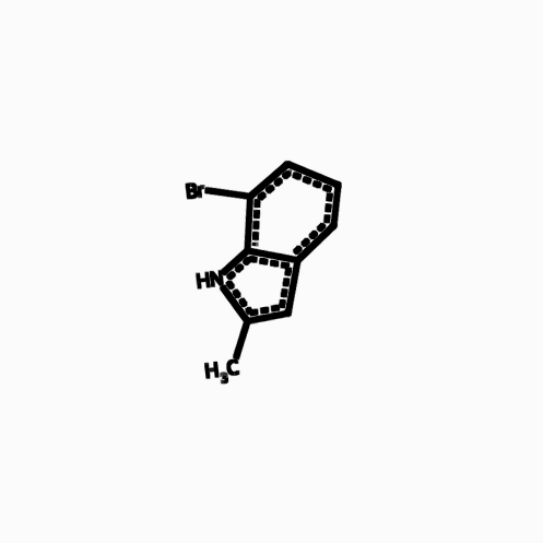 Cc1cc2cccc(Br)c2[nH]1